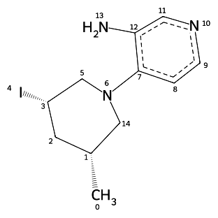 C[C@@H]1C[C@H](I)CN(c2ccncc2N)C1